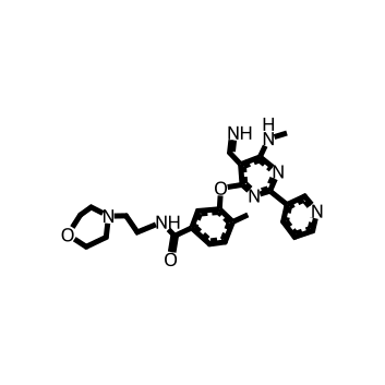 CNc1nc(-c2cccnc2)nc(Oc2cc(C(=O)NCCN3CCOCC3)ccc2C)c1C=N